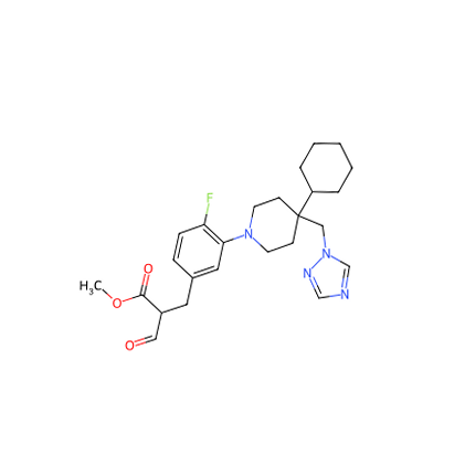 COC(=O)C(C=O)Cc1ccc(F)c(N2CCC(Cn3cncn3)(C3CCCCC3)CC2)c1